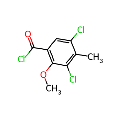 COc1c(C(=O)Cl)cc(Cl)c(C)c1Cl